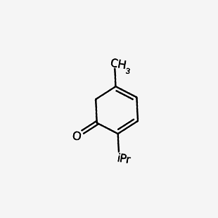 CC1=CC=C(C(C)C)C(=O)C1